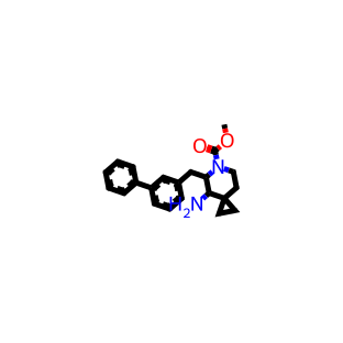 COC(=O)N1CCC2(CC2)C(N)C1Cc1cccc(-c2ccccc2)c1